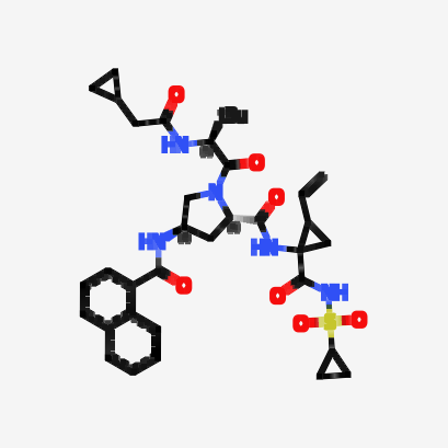 C=CC1CC1(NC(=O)[C@@H]1C[C@@H](NC(=O)c2cccc3ccccc23)CN1C(=O)[C@@H](NC(=O)CC1CC1)C(C)(C)C)C(=O)NS(=O)(=O)C1CC1